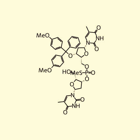 COc1ccc(C(O[C@@H]2C[C@H](n3cc(C)c(=O)[nH]c3=O)O[C@@H]2COP(=O)(O[C@@H]2C[C@H](n3cc(C)c(=O)[nH]c3=O)O[C@@H]2CO)SC)(c2ccccc2)c2ccc(OC)cc2)cc1